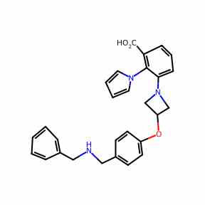 O=C(O)c1cccc(N2CC(Oc3ccc(CNCc4ccccc4)cc3)C2)c1-n1cccc1